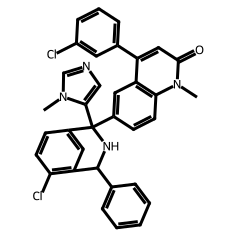 Cn1cncc1C1(c2ccc3c(c2)c(-c2cccc(Cl)c2)cc(=O)n3C)NC(c2ccccc2)c2cc1ccc2Cl